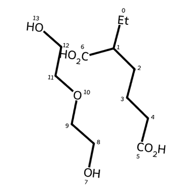 CCC(CCCC(=O)O)C(=O)O.OCCOCCO